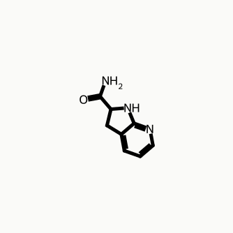 NC(=O)C1Cc2cccnc2N1